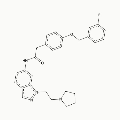 O=C(Cc1ccc(OCc2cccc(F)c2)cc1)Nc1ccc2cnn(CCN3CCCC3)c2c1